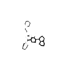 Oc1cc(-c2c(Cl)cc3c(N4CC5CCC(C4)N5)nc(OCCN4CCCCC4)nc3c2F)c2ccccc2c1